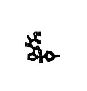 Cc1ccc(S(=O)(=O)N2CCC[C@H]2C(=O)NC(C)C(=O)O)cc1